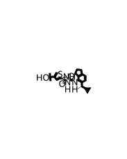 C[C@H](c1ccc2c(c1NC(=O)NS(=N)(=O)c1cc(C(C)(C)O)cs1)CCC2)C1CC1